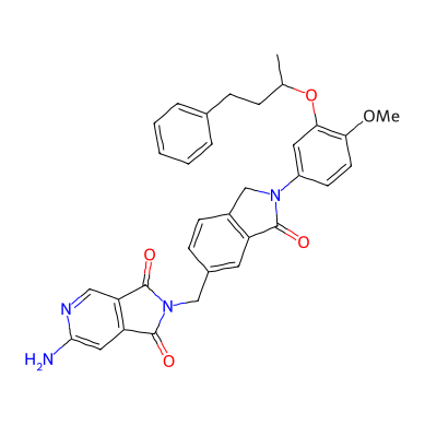 COc1ccc(N2Cc3ccc(CN4C(=O)c5cnc(N)cc5C4=O)cc3C2=O)cc1OC(C)CCc1ccccc1